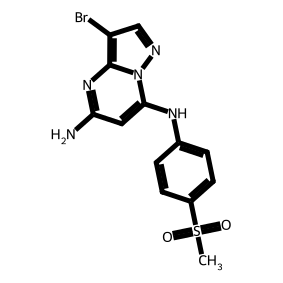 CS(=O)(=O)c1ccc(Nc2cc(N)nc3c(Br)cnn23)cc1